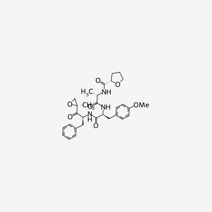 COc1ccc(C[C@H](NC(=O)[C@H](C)NC(=O)[C@@H]2CCCO2)C(=O)N[C@@H](Cc2ccccc2)C(=O)[C@]2(C)CO2)cc1